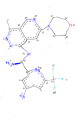 Cc1nnc(N[C@H](N)c2cc(N)cc(C(F)(F)F)n2)c2cc(N3CCOCC3)ncc12